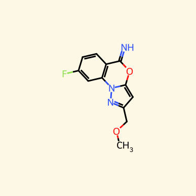 COCc1cc2oc(=N)c3ccc(F)cc3n2n1